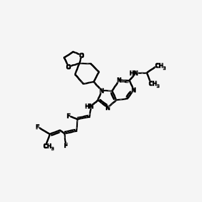 C\C(F)=C/C(F)=C\C(F)=C\Nc1nc2cnc(NC(C)C)nc2n1C1CCC2(CC1)OCCO2